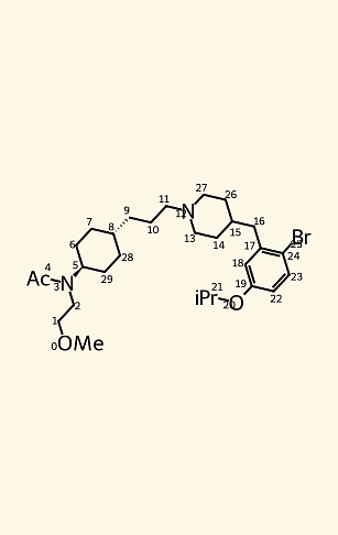 COCCN(C(C)=O)[C@H]1CC[C@H](CCCN2CCC(Cc3cc(OC(C)C)ccc3Br)CC2)CC1